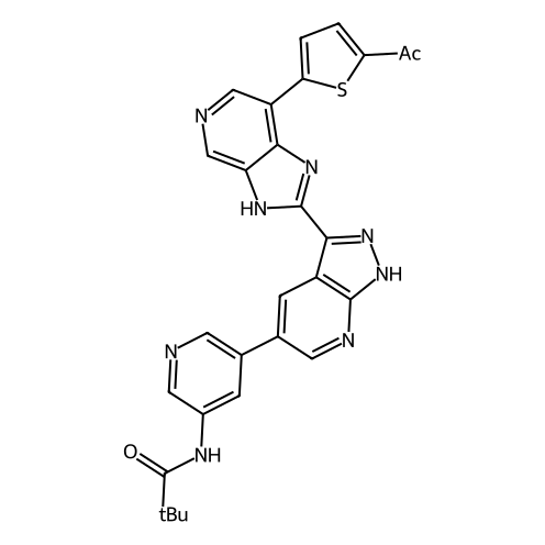 CC(=O)c1ccc(-c2cncc3[nH]c(-c4n[nH]c5ncc(-c6cncc(NC(=O)C(C)(C)C)c6)cc45)nc23)s1